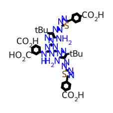 CC(C)(C)c1nn(-c2nc(Nc3cc(C(=O)O)cc(C(=O)O)c3)nc(-n3nc(C(C)(C)C)c(N=Nc4nnc(-c5ccc(C(=O)O)cc5)s4)c3N)n2)c(N)c1N=Nc1nnc(-c2ccc(C(=O)O)cc2)s1